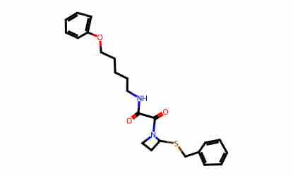 O=C(NCCCCCOc1ccccc1)C(=O)N1CCC1SCc1ccccc1